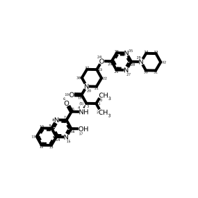 CC(C)[C@H](NC(=O)c1nc2ccccc2nc1O)C(=O)N1CCC(Oc2cnc(N3CCCCC3)nc2)CC1